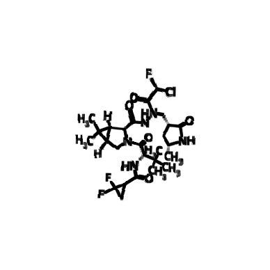 C[C@@H]1C[C@H](CN(NC(=O)[C@@H]2[C@@H]3[C@H](CN2C(=O)[C@@H](NC(=O)C2CC2(F)F)C(C)(C)C)C3(C)C)C(=O)[C@@H](F)Cl)C(=O)N1